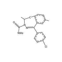 CNC(=O)N1N=C(c2ccc(Cl)cc2)c2cc(C)ccc2CC1C